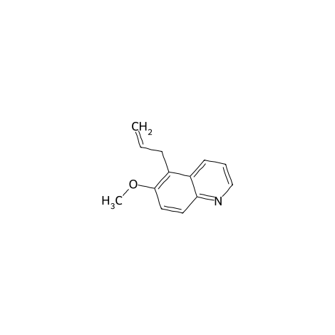 C=CCc1c(OC)ccc2ncccc12